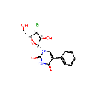 O=c1[nH]c(=O)n([C@@H]2O[C@H](CO)[C@H](Br)[C@H]2O)cc1-c1ccccc1